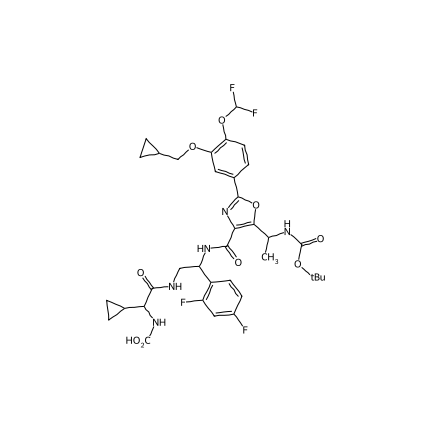 CC(NC(=O)OC(C)(C)C)c1oc(-c2ccc(OC(F)F)c(OCC3CC3)c2)nc1C(=O)NC(CNC(=O)C(NC(=O)O)C1CC1)c1ccc(F)cc1F